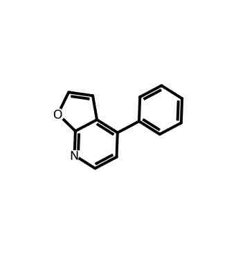 c1ccc(-c2ccnc3occc23)cc1